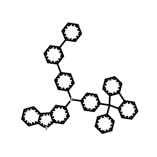 c1ccc(-c2cccc(-c3ccc(N(c4ccc(C5(c6ccccc6)c6ccccc6-c6ccccc65)cc4)c4ccc5sc6ccccc6c5c4)cc3)c2)cc1